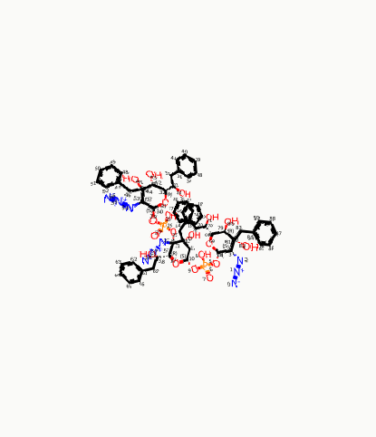 [N-]=[N+]=N[C@@H]1[C@H](OP(=O)(O)O[C@H]2C[C@](O)(Cc3ccccc3)[C@@](N=[N+]=[N-])(OP(=O)(O)O[C@@H]3O[C@H](C(O)Cc4ccccc4)[C@@H](O)[C@@](O)(Cc4ccccc4)[C@@H]3N=[N+]=[N-])[C@@H](C(O)Cc3ccccc3)O2)O[C@H](C(O)Cc2ccccc2)[C@@H](O)[C@@]1(O)Cc1ccccc1